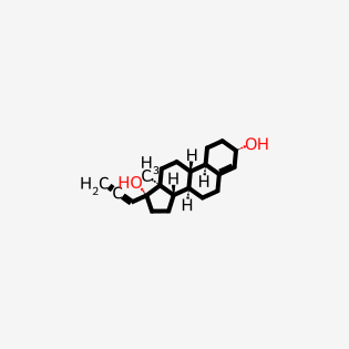 C=C=C[C@]1(O)CC[C@H]2[C@@H]3CCC4=C[C@@H](O)CC[C@@H]4[C@H]3CC[C@@]21C